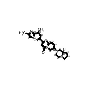 Cc1cn2nc(-c3cc(=O)n4cc(N5CCN6CCC[C@@H]6C5)ccc4n3)cc(C)c2n1